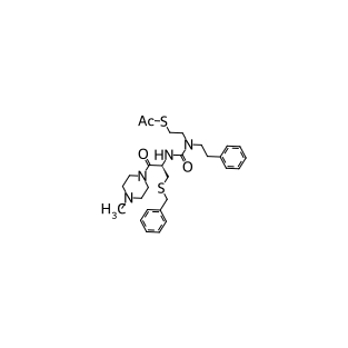 CC(=O)SCCN(CCc1ccccc1)C(=O)N[C@@H](CSCc1ccccc1)C(=O)N1CCN(C)CC1